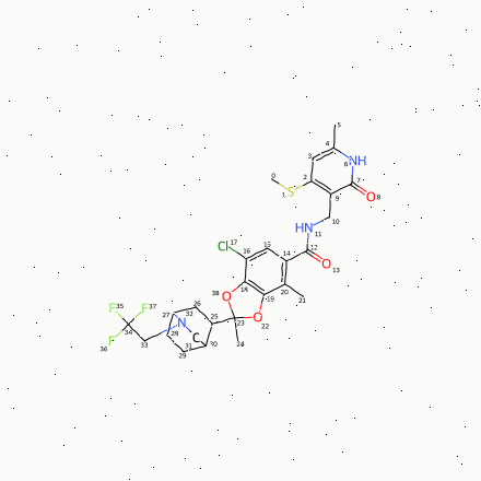 CSc1cc(C)[nH]c(=O)c1CNC(=O)c1cc(Cl)c2c(c1C)OC(C)(C1CC3CCC1CN3CC(F)(F)F)O2